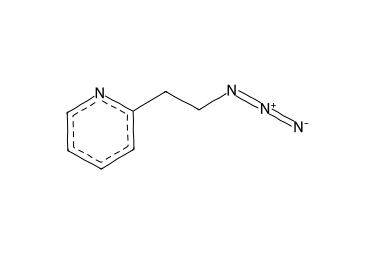 [N-]=[N+]=NCCc1ccccn1